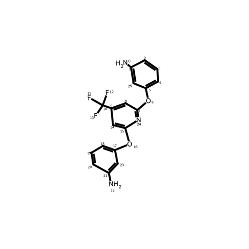 Nc1cccc(Oc2cc(C(F)(F)F)cc(Oc3cccc(N)c3)n2)c1